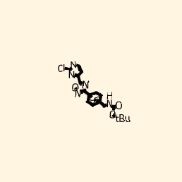 CC(C)(C)OC(=O)NCC12CCC(c3noc(-c4ccnc(Cl)n4)n3)(CC1)CC2